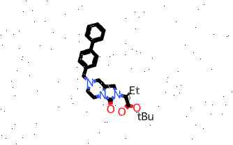 CC[C@@H](C(=O)OC(C)(C)C)N1CC2CN(Cc3ccc(-c4ccccc4)cc3)CCN2C1=O